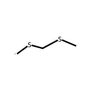 [CH2]SCSC